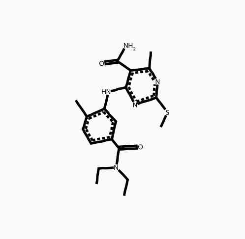 CCN(CC)C(=O)c1ccc(C)c(Nc2nc(SC)nc(C)c2C(N)=O)c1